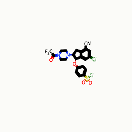 N#Cc1cc(Cl)cc2c1C[C@H](N1CCN(C(=O)C(F)(F)F)CC1)[C@H]2Oc1ccc(S(=O)(=O)Cl)cc1